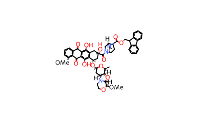 COc1cccc2c1C(=O)c1c(O)c3c(c(O)c1C2=O)C[C@@](O)(C(=O)N1C[C@H]2CCC1CN2C(=O)OCC1c2ccccc2-c2ccccc21)C[C@@H]3O[C@H]1C[C@H]2[C@H](O[C@@H]3[C@@H](OC)OCCN32)[C@H](C)O1